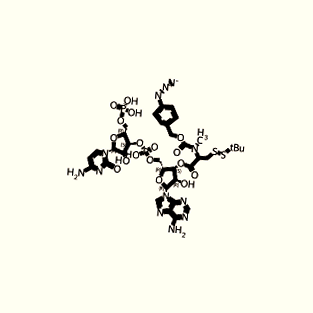 CN(C(=O)OCc1ccc(N=[N+]=[N-])cc1)C(CSSC(C)(C)C)C(=O)O[C@H]1[C@@H](O)[C@H](n2cnc3c(N)ncnc32)O[C@@H]1COP(=O)(O)O[C@H]1[C@@H](O)[C@H](n2ccc(N)nc2=O)O[C@@H]1COP(=O)(O)O